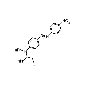 CCCC(CO)N(CCC)c1ccc(/N=N/c2ccc([N+](=O)[O-])cc2)cc1